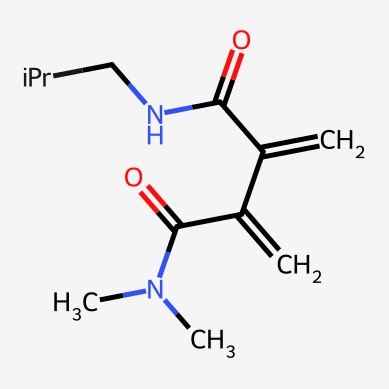 C=C(C(=C)C(=O)N(C)C)C(=O)NCC(C)C